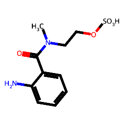 CN(CCOS(=O)(=O)O)C(=O)c1ccccc1N